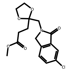 COC(=O)CCC1(CN2Cc3ccc(Cl)cc3C2=O)OCCO1